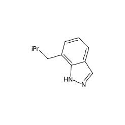 CC(C)Cc1cccc2cn[nH]c12